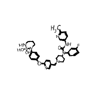 Cc1ccc(NC(=O)N(c2cccc(F)c2)C2CCN(Cc3ccc(Oc4ccc(N5CCCNS5(O)O)cc4)nc3)CC2)cn1